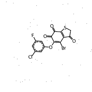 O=C1CSC2=C1C(Br)=C(Oc1cc(F)cc(Cl)c1)C(=O)C2=O